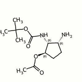 CC(=O)O[C@@H]1CC[C@@H](N)[C@H]1NC(=O)OC(C)(C)C